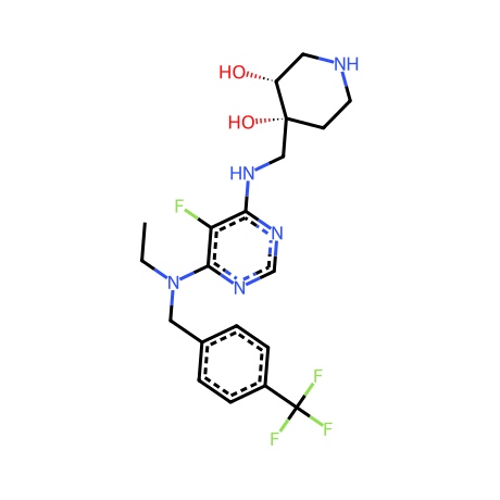 CCN(Cc1ccc(C(F)(F)F)cc1)c1ncnc(NC[C@]2(O)CCNC[C@H]2O)c1F